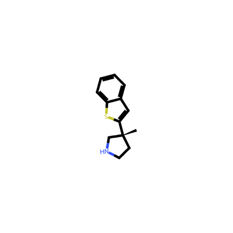 C[C@@]1(c2cc3ccccc3s2)CCNC1